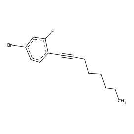 CCCCCCC#Cc1ccc(Br)cc1F